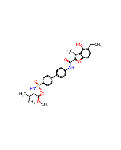 CCc1ccc2oc(C(=O)Nc3ccc(-c4ccc(S(=O)(=O)N[C@H](C(=O)OC)C(C)C)cc4)cc3)c(C)c2c1O